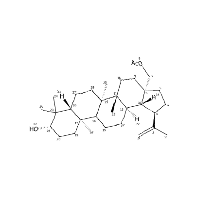 C=C(C)[C@@H]1CC[C@]2(COC(C)=O)CC[C@]3(C)[C@H](CCC4[C@@]5(C)CC[C@H](O)C(C)(C)[C@@H]5CC[C@]43C)[C@@H]12